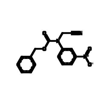 N#CCN(C(=O)OCc1ccccc1)c1cccc([N+](=O)[O-])c1